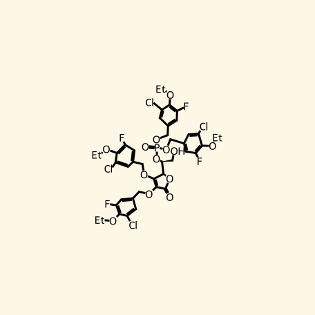 CCOc1c(F)cc(COC2=C(OCc3cc(F)c(OCC)c(Cl)c3)[C@@H]([C@H](CO)OP(=O)(OCc3cc(F)c(OCC)c(Cl)c3)OCc3cc(F)c(OCC)c(Cl)c3)OC2=O)cc1Cl